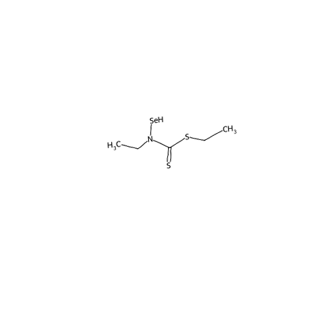 CCSC(=S)N([SeH])CC